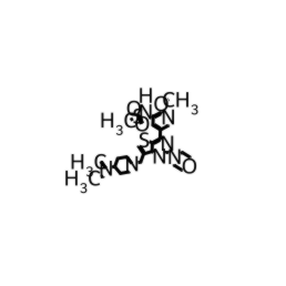 CCN(C)C1CCN(Cc2csc3c(-c4cnc(OC)c(NS(C)(=O)=O)c4)nc(N4CCOCC4)nc23)CC1